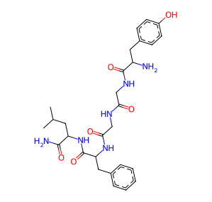 CC(C)CC(NC(=O)C(Cc1ccccc1)NC(=O)CNC(=O)CNC(=O)C(N)Cc1ccc(O)cc1)C(N)=O